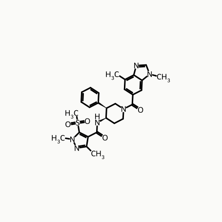 Cc1nn(C)c(S(C)(=O)=O)c1C(=O)N[C@@H]1CCN(C(=O)c2cc(C)c3ncn(C)c3c2)C[C@@H]1c1ccccc1